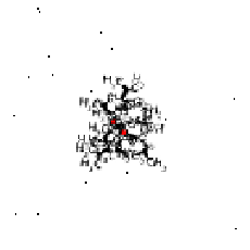 CC(C)C[SiH2]O[Si]1(CC(C)C)O[Si]2(CC(C)C)O[Si]3(O)O[SiH2]O[Si]4(CC(C)C)O[Si](CC(C)C)(O3)O[Si](CC(C)C)(O2)O[Si](CC(C)C)(O1)O4